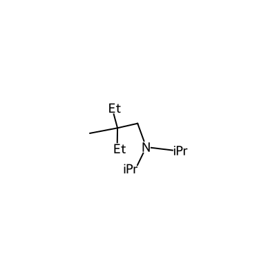 CCC(C)(CC)CN(C(C)C)C(C)C